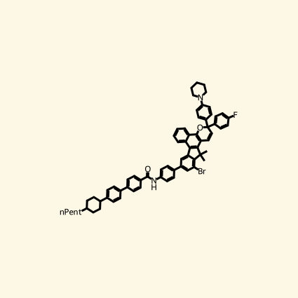 CCCCCC1CCC(c2ccc(-c3ccc(C(=O)Nc4ccc(-c5cc(Br)c6c(c5)-c5c(c7c(c8ccccc58)OC(c5ccc(F)cc5)(c5ccc(N8CCCCC8)cc5)C=C7)C6(C)C)cc4)cc3)cc2)CC1